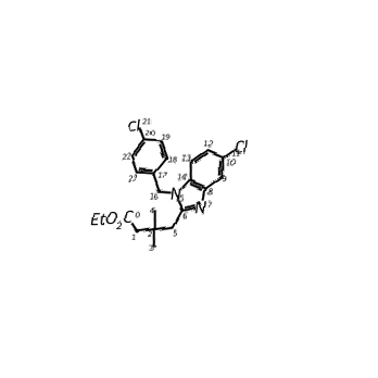 CCOC(=O)CC(C)(C)Cc1nc2cc(Cl)ccc2n1Cc1ccc(Cl)cc1